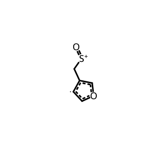 O=[S+]Cc1[c]coc1